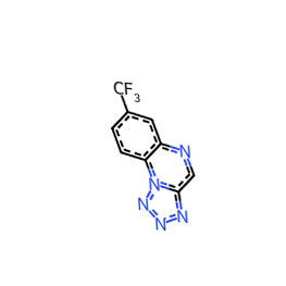 FC(F)(F)c1ccc2c(c1)ncc1nnnn12